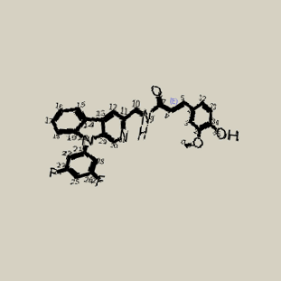 COc1cc(/C=C/C(=O)NCc2cc3c4ccccc4n(-c4cc(F)cc(F)c4)c3cn2)ccc1O